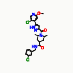 COc1cc(-c2cc(C(=O)N3C(C)CC(C(=O)NCc4cccc(Cl)c4)CC3C)n[nH]2)c(Cl)cn1